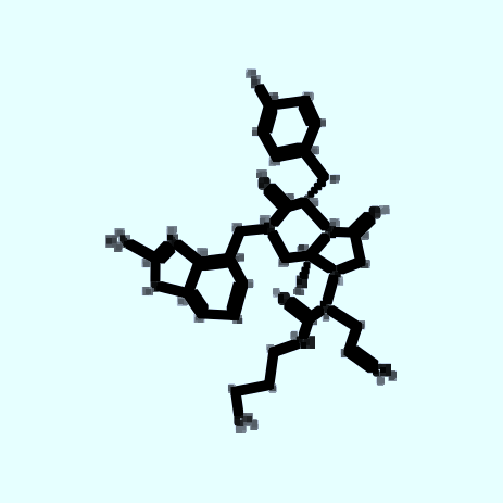 C=CCN(C(=O)NCCCC)N1CC(=O)N2[C@@H](Cc3ccc(F)cc3)C(=O)N(Cc3cccc4sc(N)nc34)C[C@@H]21